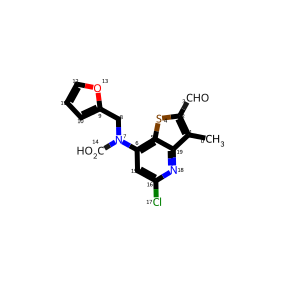 Cc1c(C=O)sc2c(N(Cc3ccco3)C(=O)O)cc(Cl)nc12